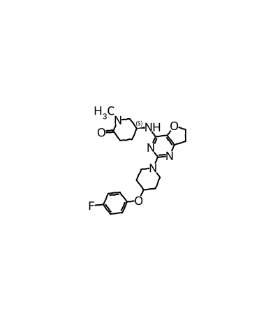 CN1C[C@@H](Nc2nc(N3CCC(Oc4ccc(F)cc4)CC3)nc3c2OCC3)CCC1=O